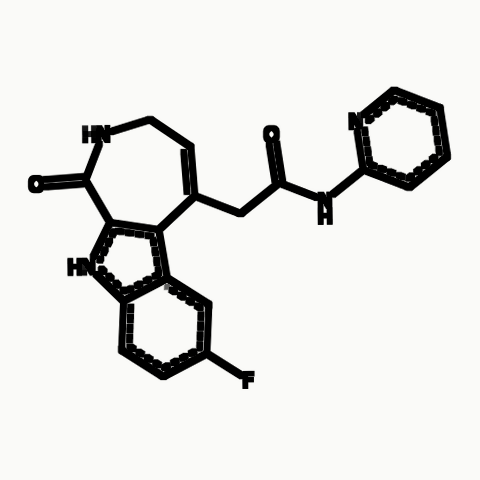 O=C(CC1=CCNC(=O)c2[nH]c3ccc(F)cc3c21)Nc1ccccn1